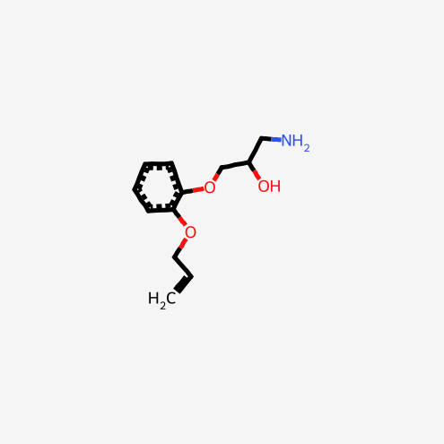 C=CCOc1ccccc1OCC(O)CN